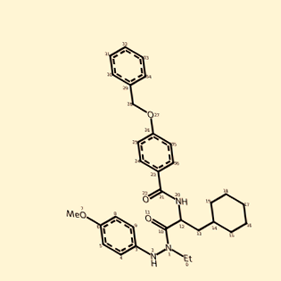 CCN(Nc1ccc(OC)cc1)C(=O)C(CC1CCCCC1)NC(=O)c1ccc(OCc2ccccc2)cc1